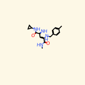 CNC(=O)/C(=C/C(=N)C(=O)NC1CC1)NCc1ccc(C)cc1